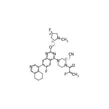 C=C(F)C(=O)N1CCN(c2nc(OC[C@@H]3C[C@@H](F)CN3C)nc3cc(-c4cncc5c4CCCC5)c(F)cc23)C[C@@H]1CC#N